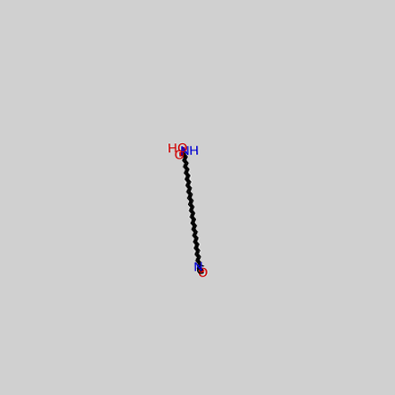 O=C=NCCCCCCCCCCCCCCCCCCCCCCCCCCCCCCCCCCCC(=O)NO